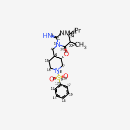 CNC(=N)N(CC1CCN(S(=O)(=O)c2ccccc2)CC1)C(=O)C(C)CC(C)C